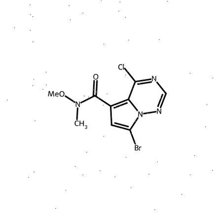 CON(C)C(=O)c1cc(Br)n2ncnc(Cl)c12